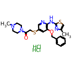 Cc1csc(Nc2ncc(SCC(=O)N3CCN(C)CC3)cc2OCc2ccccc2)n1.Cl.Cl